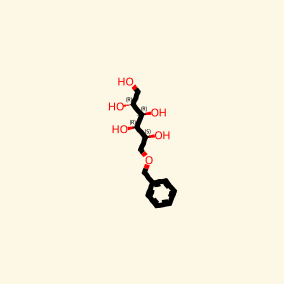 OC[C@@H](O)[C@@H](O)[C@H](O)[C@@H](O)COCc1ccccc1